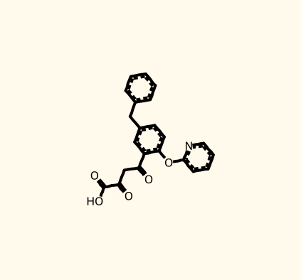 O=C(O)C(=O)CC(=O)c1cc(Cc2ccccc2)ccc1Oc1ccccn1